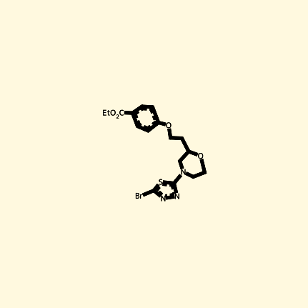 CCOC(=O)c1ccc(OCCC2CN(c3nnc(Br)s3)CCO2)cc1